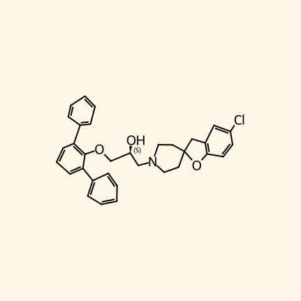 O[C@H](COc1c(-c2ccccc2)cccc1-c1ccccc1)CN1CCC2(CC1)Cc1cc(Cl)ccc1O2